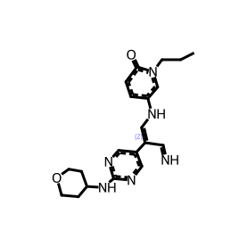 CCCn1cc(N/C=C(\C=N)c2cnc(NC3CCOCC3)nc2)ccc1=O